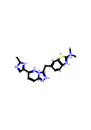 CC1N=CC(c2ccc3nnc(Cc4ccc5nc(N(C)C)sc5c4)n3n2)=N1